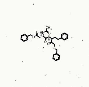 CC(=O)N[C@@H](CC(=O)OCc1ccccc1)C(=O)NC(CCc1ccccc1)C(=O)COCc1ccccc1